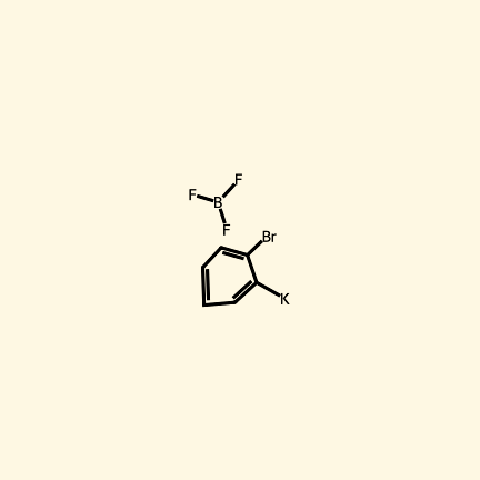 FB(F)F.[K][c]1ccccc1Br